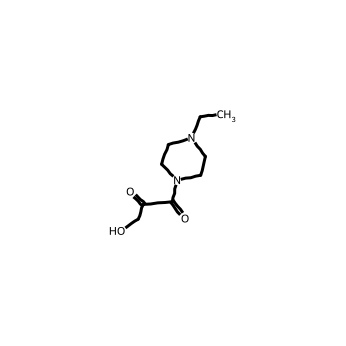 CCN1CCN(C(=O)C(=O)CO)CC1